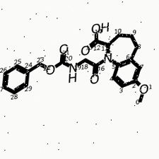 COc1ccc2c(c1)CCCC(C(=O)O)N2C(=O)CNC(=O)OCc1ccccc1